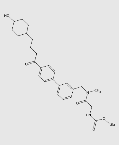 CN(Cc1cccc(-c2ccc(C(=O)CCCC3CCC(O)CC3)cc2)c1)C(=O)CNC(=O)OC(C)(C)C